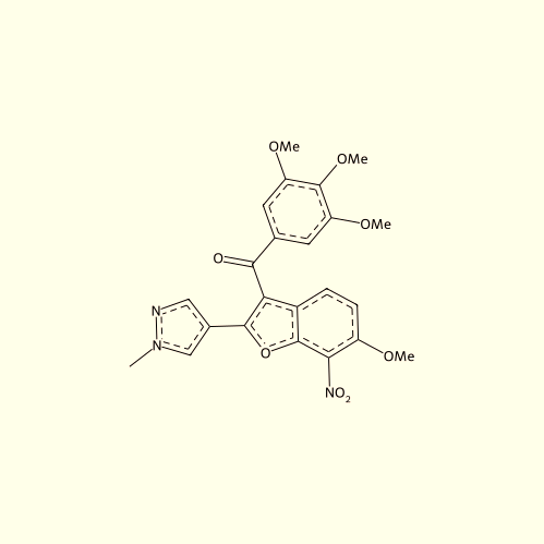 COc1cc(C(=O)c2c(-c3cnn(C)c3)oc3c([N+](=O)[O-])c(OC)ccc23)cc(OC)c1OC